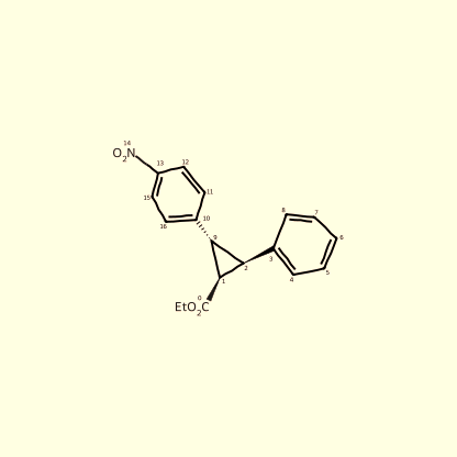 CCOC(=O)[C@@H]1[C@H](c2ccccc2)[C@H]1c1ccc([N+](=O)[O-])cc1